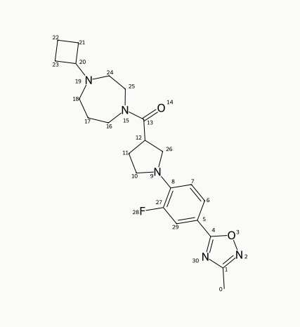 Cc1noc(-c2ccc(N3CCC(C(=O)N4CCCN(C5CCC5)CC4)C3)c(F)c2)n1